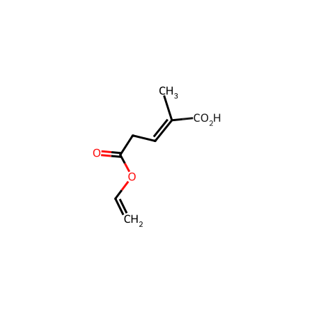 C=COC(=O)CC=C(C)C(=O)O